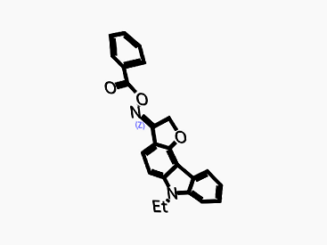 CCn1c2ccccc2c2c3c(ccc21)/C(=N/OC(=O)c1ccccc1)CO3